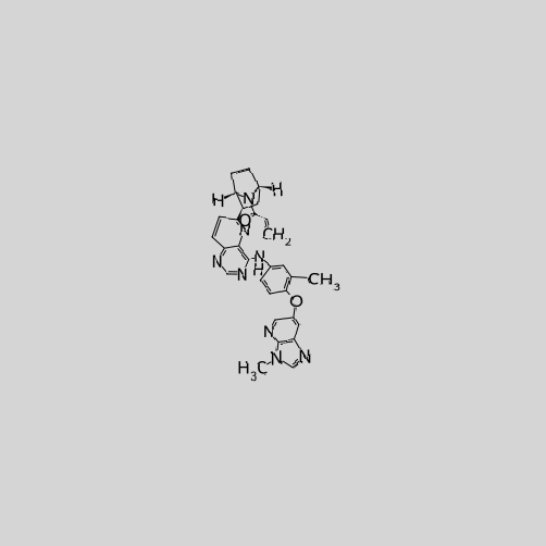 C=CC(=O)N1[C@@H]2CC[C@H]1[C@H](c1ccc3ncnc(Nc4ccc(Oc5cnc6c(c5)ncn6C)c(C)c4)c3n1)C2